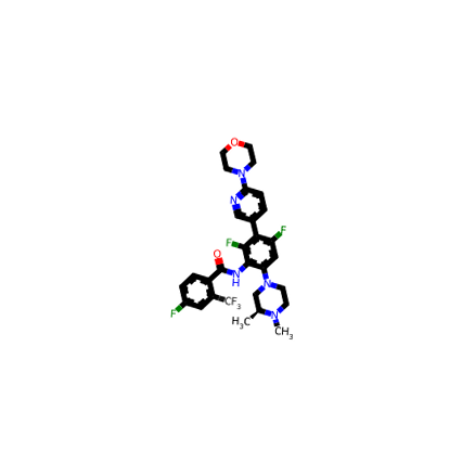 C[C@H]1CN(c2cc(F)c(-c3ccc(N4CCOCC4)nc3)c(F)c2NC(=O)c2ccc(F)cc2C(F)(F)F)CCN1C